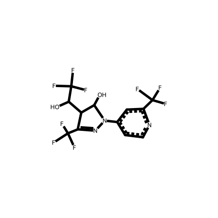 OC1C(C(O)C(F)(F)F)C(C(F)(F)F)=NN1c1ccnc(C(F)(F)F)c1